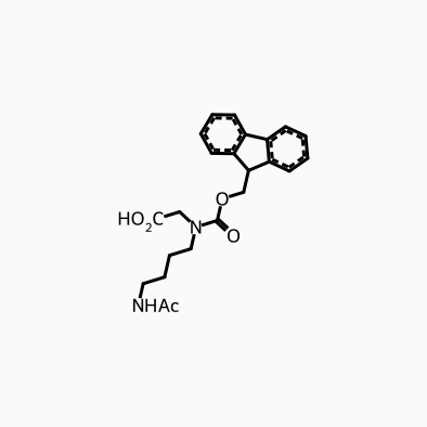 CC(=O)NCCCCN(CC(=O)O)C(=O)OCC1c2ccccc2-c2ccccc21